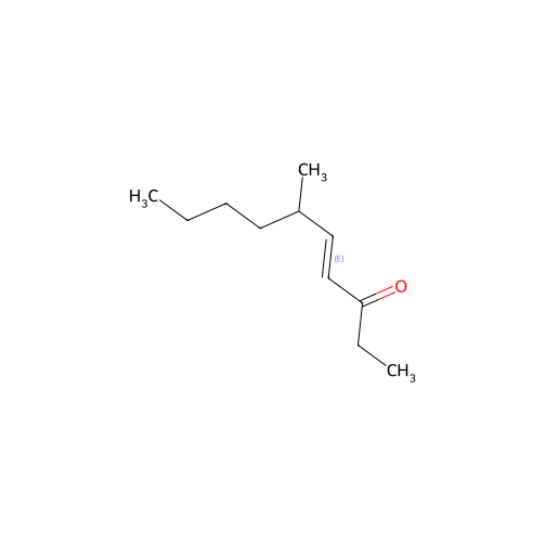 CCCCC(C)/C=C/C(=O)CC